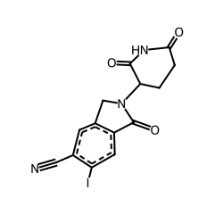 N#Cc1cc2c(cc1I)C(=O)N(C1CCC(=O)NC1=O)C2